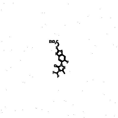 CCOC(=O)CSc1nc2cc(-n3nc(C)n(C(F)F)c3=O)c(F)cc2s1